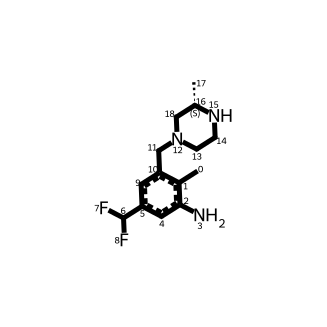 Cc1c(N)cc(C(F)F)cc1CN1CCN[C@@H](C)C1